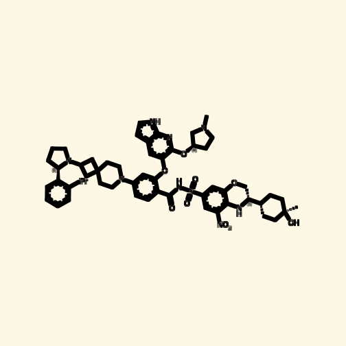 CC(C)c1ccccc1[C@H]1CCCN1C1CC2(CCN(c3ccc(C(=O)NS(=O)(=O)c4cc5c(c([N+](=O)[O-])c4)N[C@@H]([C@H]4CC[C@](C)(O)CC4)CO5)c(Oc4cc5cc[nH]c5nc4O[C@@H]4CCN(C)C4)c3)CC2)C1